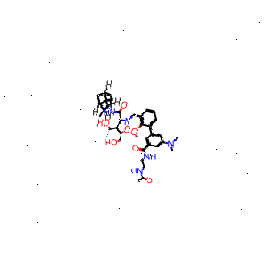 COc1c(CN2O[C@@H](CO)[C@@H]([C@H](C)O)[C@H]2C(=O)N[C@H]2C[C@H]3C[C@@H]([C@@H]2C)C3(C)C)cccc1-c1cc(C(=O)NCCNC(C)=O)cc(N(C)C)c1